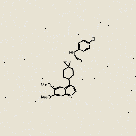 COc1cc2nccc(C3CCC4(CC3)C[C@@H]4C(=O)Nc3ccc(Cl)cc3)c2cc1OC